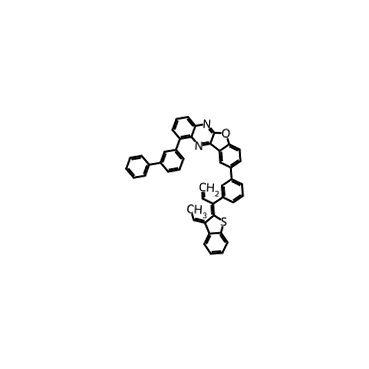 C=C/C(c1cccc(-c2ccc3oc4nc5cccc(-c6cccc(-c7ccccc7)c6)c5nc4c3c2)c1)=c1/sc2ccccc2/c1=C/C